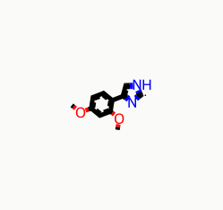 COc1ccc(-c2c[nH][c]n2)c(OC)c1